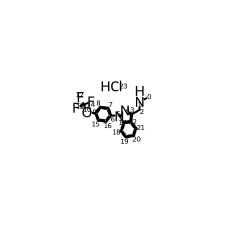 CNCc1nn(-c2ccc(OC(F)(F)F)cc2)c2ccccc12.Cl